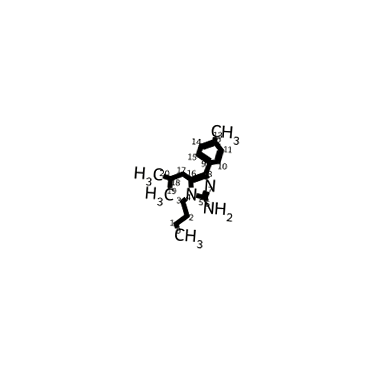 CCCCn1c(N)nc(-c2ccc(C)cc2)c1CC(C)C